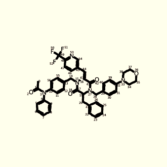 CC(=O)N(c1ccccc1)c1ccc(CN(C)C(=O)C(Cc2ccccc2)N(Cc2ccc(N3CCOCC3)cc2)C(=O)C=Cc2ccc(C(F)(F)F)nc2)cc1